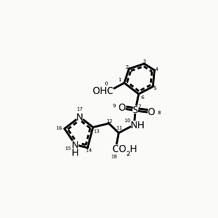 O=Cc1ccccc1S(=O)(=O)NC(Cc1c[nH]cn1)C(=O)O